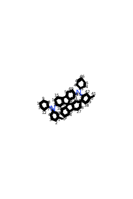 Cc1cccc(N(c2ccccc2)c2ccc3c(c2)C2(c4ccccc4-c4ccccc42)c2cc(N(c4cccc(C)c4)C4C=CC#CC4)ccc2-3)c1